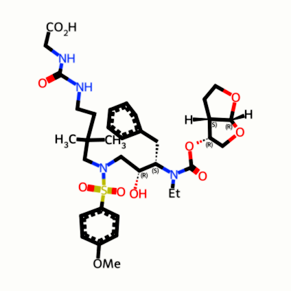 CCN(C(=O)O[C@H]1CO[C@H]2OCC[C@H]21)[C@@H](Cc1ccccc1)[C@H](O)CN(CC(C)(C)CCNC(=O)NCC(=O)O)S(=O)(=O)c1ccc(OC)cc1